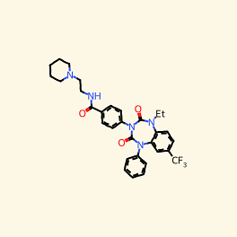 CCN1C(=O)N(c2ccc(C(=O)NCCN3CCCCC3)cc2)C(=O)N(c2ccccc2)c2cc(C(F)(F)F)ccc21